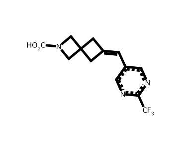 O=C(O)N1CC2(CC(=Cc3cnc(C(F)(F)F)nc3)C2)C1